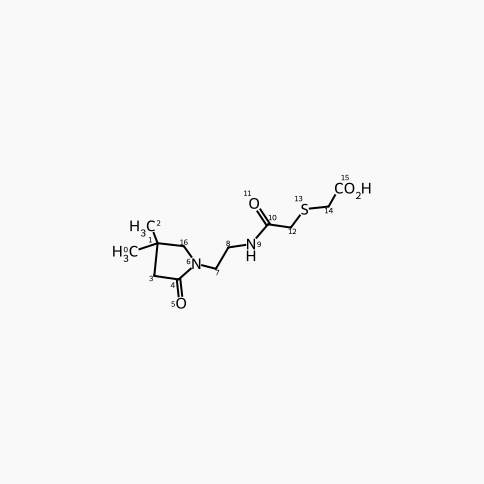 CC1(C)CC(=O)N(CCNC(=O)CSCC(=O)O)C1